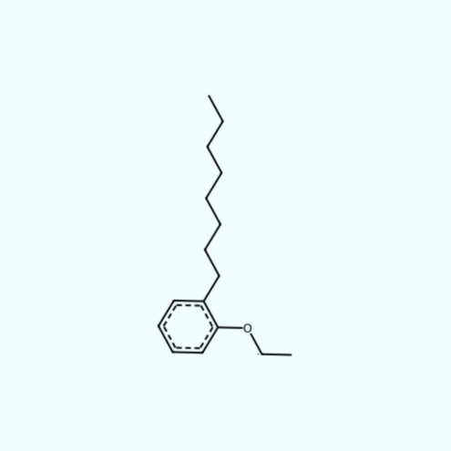 C[CH]Oc1ccccc1CCCCCCCC